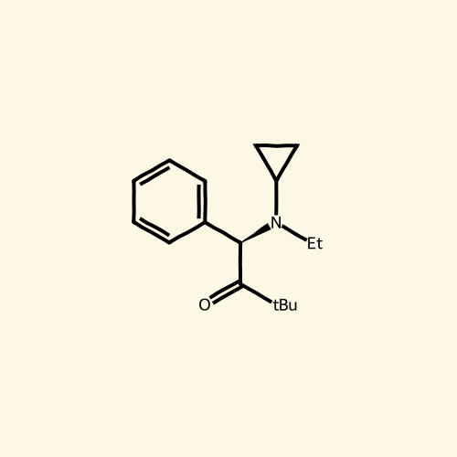 CCN(C1CC1)[C@@H](C(=O)C(C)(C)C)c1ccccc1